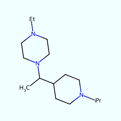 CCN1CCN(C(C)C2CCN(C(C)C)CC2)CC1